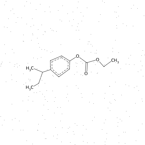 CCOC(=O)Oc1ccc(C(C)CC)cc1